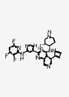 C[C@H]1CNCC[C@H]1Nc1nc(-c2ccnc(Nc3nc(F)cc(F)c3F)c2)nc2cncc(C3=CC=C3)c12